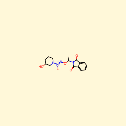 CC(O/N=[N+](\[O-])N1CCCC(O)C1)N1C(=O)c2ccccc2C1=O